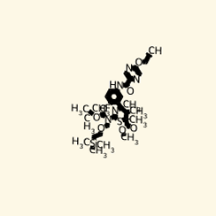 C#CCOc1cnc(C(=O)Nc2ccc(F)c([C@@]3(C)N=C(N(COCC[Si](C)(C)C)C(=O)OC(C)(C)C)S[C@](C)(C(=O)OC)C3C)c2)cn1